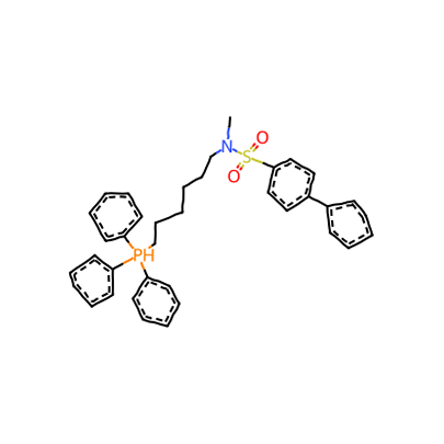 CN(CCCCCC[PH](c1ccccc1)(c1ccccc1)c1ccccc1)S(=O)(=O)c1ccc(-c2ccccc2)cc1